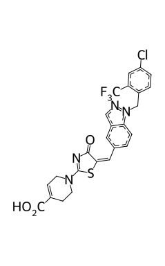 O=C(O)C1=CCN(C2=NC(=O)C(=Cc3ccc4c(cnn4Cc4ccc(Cl)cc4C(F)(F)F)c3)S2)CC1